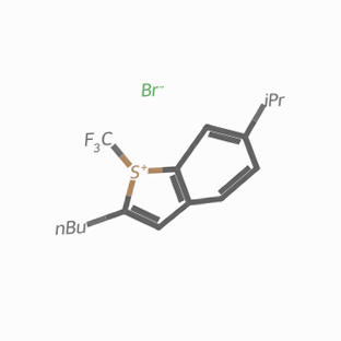 CCCCc1cc2ccc(C(C)C)cc2[s+]1C(F)(F)F.[Br-]